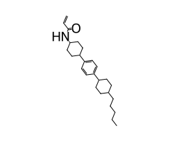 C=CC(=O)NC1CCC(c2ccc(C3CCC(CCCCC)CC3)cc2)CC1